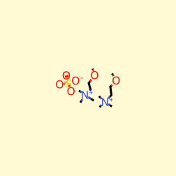 COCC[N+](C)(C)C.COCC[N+](C)(C)C.O=S(=O)([O-])[O-]